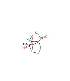 CC1(C)C2CCC1(C(=O)Cl)C(=O)C2=O